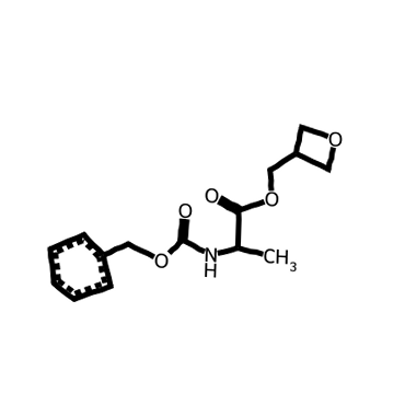 CC(NC(=O)OCc1ccccc1)C(=O)OCC1COC1